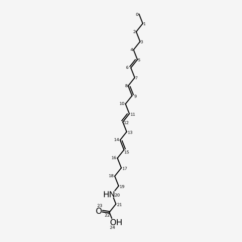 CCCCCC=CCC=CCC=CCC=CCCCCNCC(=O)O